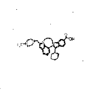 CN1CCN(Cc2cc3cccc4c3n2CCCn2c-4c(C3CCCCC3)c3ccc(C(=O)O)cc32)CC1